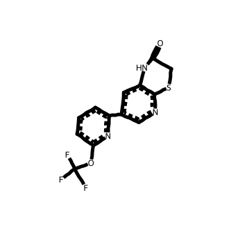 O=C1CSc2ncc(-c3cccc(OC(F)(F)F)n3)cc2N1